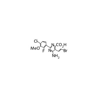 COc1c(Cl)ccc(-c2nc(N)c(C=CBr)c(C(=O)O)n2)c1F